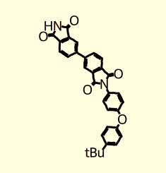 CC(C)(C)c1ccc(Oc2ccc(N3C(=O)c4ccc(-c5ccc6c(c5)C(=O)NC6=O)cc4C3=O)cc2)cc1